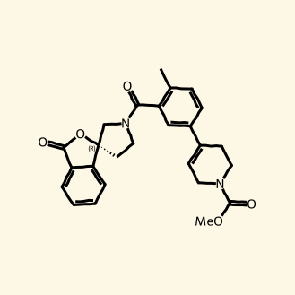 COC(=O)N1CC=C(c2ccc(C)c(C(=O)N3CC[C@@]4(C3)OC(=O)c3ccccc34)c2)CC1